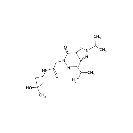 CC(C)c1nn(CC(=O)NC2CC(C)(O)C2)c(=O)c2cn(C(C)C)nc12